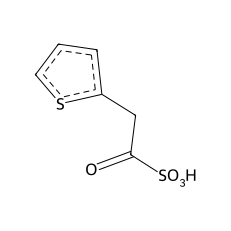 O=C(Cc1cccs1)S(=O)(=O)O